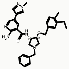 CCc1cc(CO[C@H]2CN(Cc3ccccc3)C[C@@H]2NC(=O)c2cc(-c3cnn(C)c3)cnc2N)ccc1C